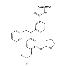 CS(=O)(=O)NC(=O)c1cccc(N(Cc2cccnc2)c2ccc(OC(F)F)c(OC3CCCO3)c2)c1